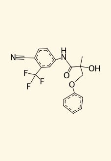 CC(O)(COc1ccccc1)C(=O)Nc1ccc(C#N)c(C(F)(F)F)c1